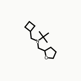 CC(C)(C)N(CC1CCC1)CC1CCCO1